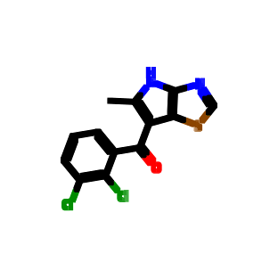 Cc1[nH]c2ncsc2c1C(=O)c1cccc(Cl)c1Cl